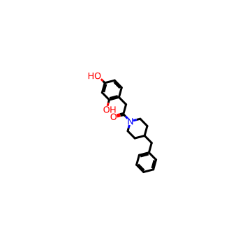 O=C(Cc1ccc(O)cc1O)N1CCC(Cc2ccccc2)CC1